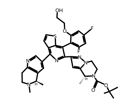 C[C@@H]1c2cc(-c3nc(-c4cc5n(n4)CCN(C(=O)OC(C)(C)C)[C@@H]5C)c(-c4c(F)cc(F)cc4OCCO)c4sccc34)cnc2CCN1C